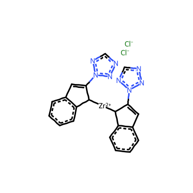 C1=C(n2ncnn2)[CH]([Zr+2][CH]2C(n3ncnn3)=Cc3ccccc32)c2ccccc21.[Cl-].[Cl-]